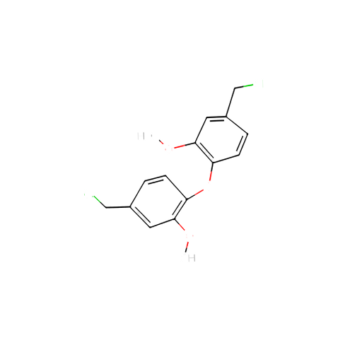 COc1cc(CCl)ccc1Oc1ccc(CCl)cc1OC